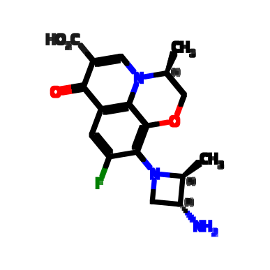 C[C@H]1[C@H](N)CN1c1c(F)cc2c(=O)c(C(=O)O)cn3c2c1OC[C@@H]3C